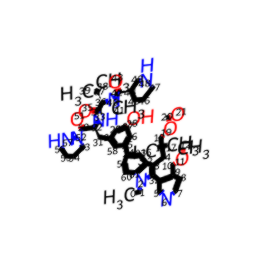 CCn1c(-c2cnccc2COC)c(CC(C)(C)COC=O)c2cc(-c3cc(O)cc(C[C@H](NC(=O)[C@H](C(C)C)N(C)C(=O)[C@@H]4CCCNC4)C(=O)N4CCCCN4)c3)ccc21